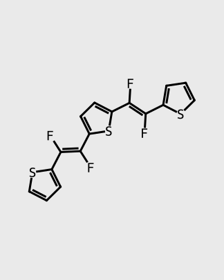 FC(=C(F)c1ccc(C(F)=C(F)c2cccs2)s1)c1cccs1